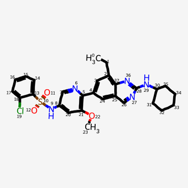 CCc1cc(-c2ncc(NS(=O)(=O)c3ccccc3Cl)cc2OC)cc2cnc(NC3CCCCC3)nc12